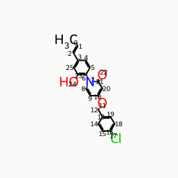 CC=Cc1ccc(-n2ccc(OCc3ccc(Cl)cc3)cc2=O)c(O)c1